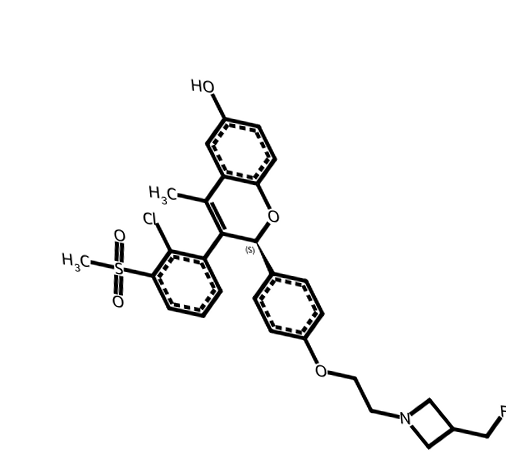 CC1=C(c2cccc(S(C)(=O)=O)c2Cl)[C@H](c2ccc(OCCN3CC(CF)C3)cc2)Oc2ccc(O)cc21